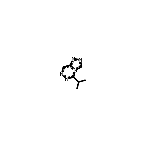 CC(C)c1nncc2nncn12